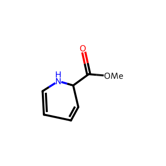 COC(=O)[C]1C=CC=CN1